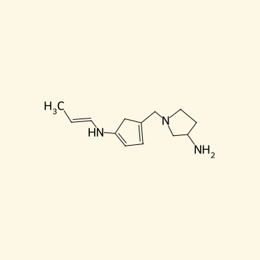 C/C=C/NC1=CC=C(CN2CCC(N)C2)C1